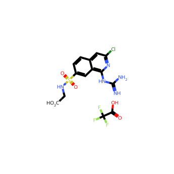 N=C(N)Nc1nc(Cl)cc2ccc(S(=O)(=O)NCC(=O)O)cc12.O=C(O)C(F)(F)F